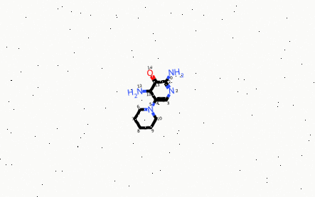 NC1=NC=C(N2CCCCC2)C(N)C1=O